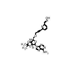 CC1(C)O[C@@H]2[C@H](O1)[C@@H](COCC#Cc1cccc(C=NO)n1)O[C@H]2n1cnc2c(N)ncnc21